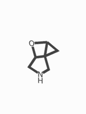 C1NCC23CC2OC13